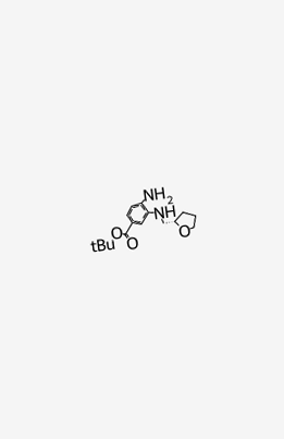 CC(C)(C)OC(=O)c1ccc(N)c(NC[C@@H]2CCCO2)c1